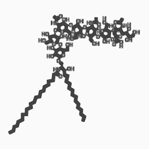 CCCCCCCCCCCCC/C=C/[C@@H](O)[C@H](CO[C@@H]1OC(CO)[C@@H](O[C@@H]2OC(CO)[C@H](O)[C@H](O[C@@H]3OC(CO)[C@@H](O[C@@H]4OC(CO)[C@H](O)[C@H](O[C@@H]5OC(CO)[C@@H](O[C@@H]6OC(CO)[C@H](O)[C@H](O[C@]7(C(=O)O)CC(O)[C@@H](NC(C)=O)C([C@H](O)[C@H](O)CO)O7)C6O)[C@H](O)C5NC(C)=O)C4O)[C@H](O)C3NC(C)=O)C2O)[C@H](O)C1O)NC(=O)CCCCCCCCCCCCCCCCCCCCC